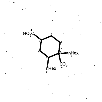 CCCCCCC1CC(C(=O)O)CCC1(CCCCCC)C(=O)O